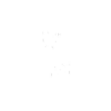 CC(C)(C)OC(=O)[C@H]1CC[C@H]([S+]([O-])C(C)(C)C)CC1